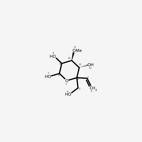 C=CC1(CO)OC(O)C(O)[C@@H](OC)[C@@H]1O